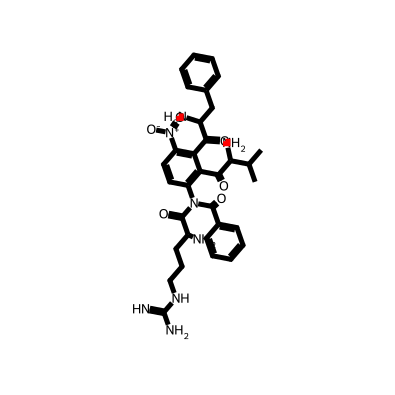 CC(C)C(N)C(=O)c1c(N(C(=O)c2ccccc2)C(=O)C(N)CCCNC(=N)N)ccc([N+](=O)[O-])c1C(=O)C(N)Cc1ccccc1